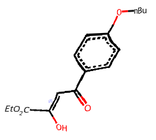 CCCCOc1ccc(C(=O)/C=C(\O)C(=O)OCC)cc1